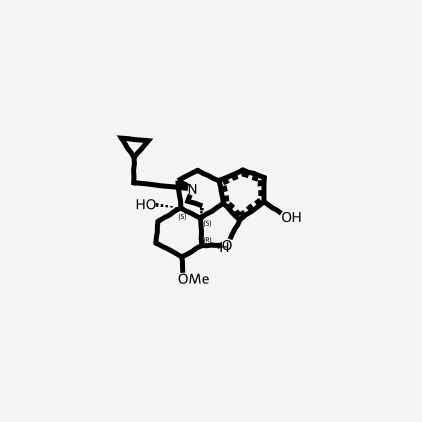 COC1CC[C@@]2(O)C3Cc4ccc(O)c5c4[C@@]2(CCN3CC2CC2)[C@H]1O5